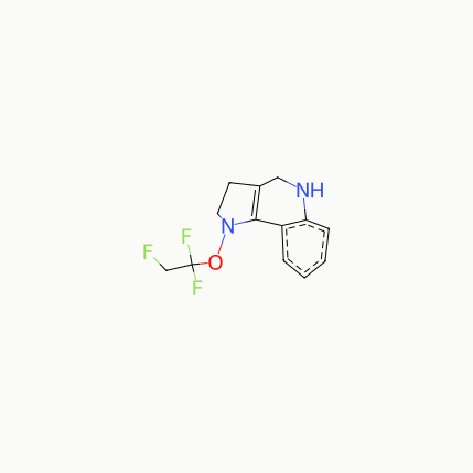 FCC(F)(F)ON1CCC2=C1c1ccccc1NC2